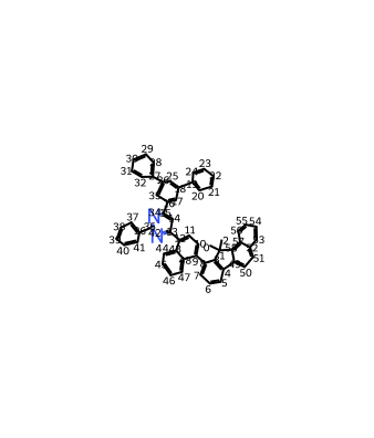 CC1(C)c2c(cccc2-c2ccc(-c3cc(-c4cc(-c5ccccc5)cc(-c5ccccc5)c4)nc(-c4ccccc4)n3)c3ccccc23)-c2ccc3ccccc3c21